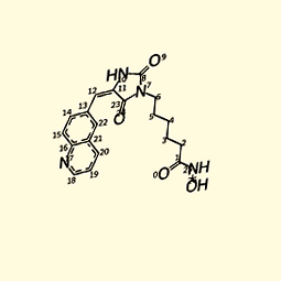 O=C(CCCCCN1C(=O)NC(=Cc2ccc3ncccc3c2)C1=O)NO